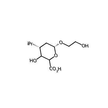 CC(C)[C@@H]1C[C@H](OCCO)OC(C(=O)O)C1O